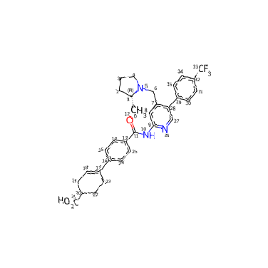 C[C@@H]1CCCN1Cc1cc(NC(=O)c2ccc(C3=CCC(C(=O)O)CC3)cc2)ncc1-c1ccc(C(F)(F)F)cc1